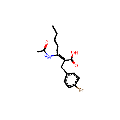 CCCCC(NC(C)=O)=C(Cc1ccc(Br)cc1)C(=O)O